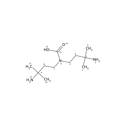 CC(C)(N)CCN(CCC(C)(C)N)C(=O)O